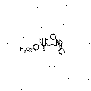 COc1ccc(NC(=S)NCCCP2N(c3ccccc3)CCN2c2ccccc2)cc1